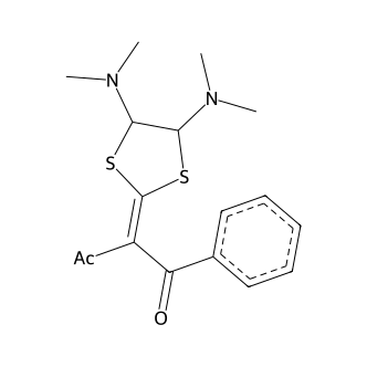 CC(=O)C(C(=O)c1ccccc1)=C1SC(N(C)C)C(N(C)C)S1